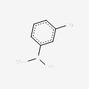 COB(OC)c1cccc(C#N)c1